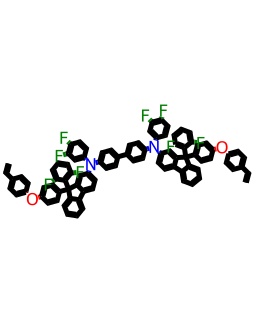 C=Cc1ccc(Oc2ccc(C3(c4c(F)cccc4F)c4ccccc4-c4ccc(N(c5ccc(-c6ccc(N(c7ccc(F)c(F)c7)c7ccc8c(c7)C(c7ccc(Oc9ccc(C=C)cc9)cc7)(c7c(F)cccc7F)c7ccccc7-8)cc6)cc5)c5ccc(F)c(F)c5)cc43)cc2)cc1